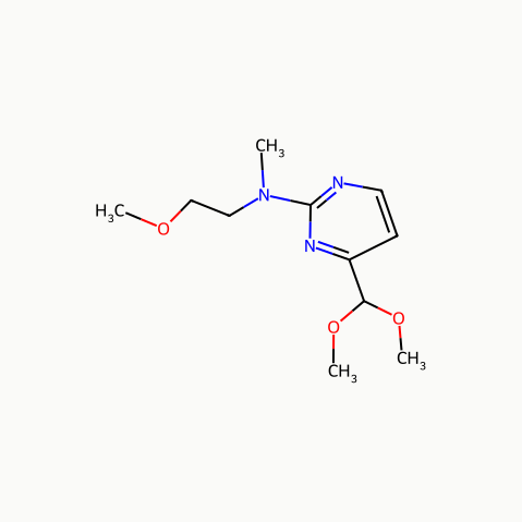 COCCN(C)c1nccc(C(OC)OC)n1